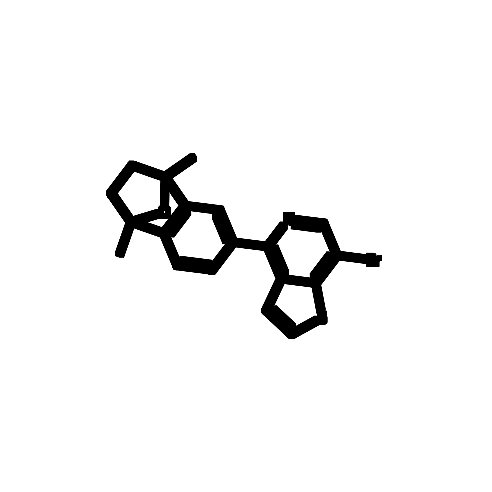 CC12CCC(C)(O1)c1cc(-c3ncc(Br)c4sccc34)ccc12